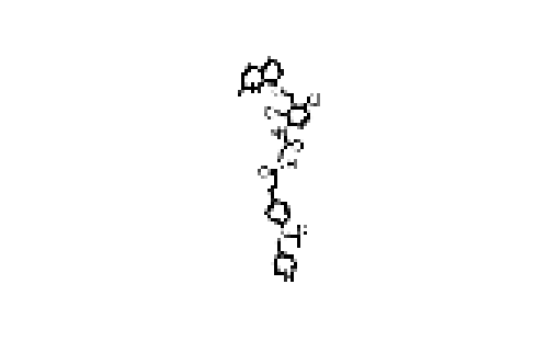 CC(=O)N(Cc1ccncc1)c1ccc(/C=C/C(=O)NCC(=O)N(C)c2ccc(Cl)c(COc3cccc4ccc(C)nc34)c2Cl)cc1